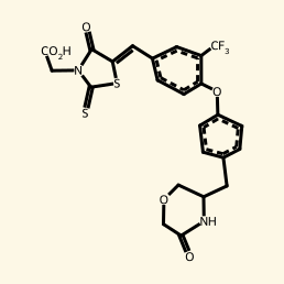 O=C(O)CN1C(=O)/C(=C/c2ccc(Oc3ccc(CC4COCC(=O)N4)cc3)c(C(F)(F)F)c2)SC1=S